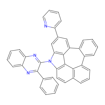 c1ccc(-c2nc3ccccc3nc2-n2c3cc(-c4ccccn4)cc4c3c3c5c(cccc5ccc32)-c2ccccc2-4)cc1